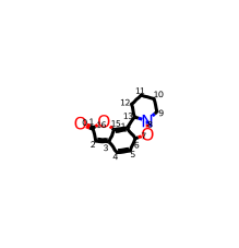 O=C1C=C2C=CC3ON4CCCCC4C3=C2O1